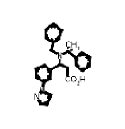 C[C@H](c1ccccc1)N(Cc1ccccc1)C(CC(=O)O)c1cccc(-n2cccn2)c1